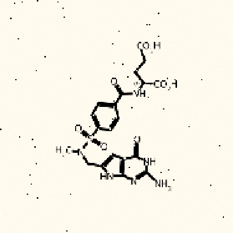 CN(Cc1cc2c(=O)[nH]c(N)nc2[nH]1)S(=O)(=O)c1ccc(C(=O)N[C@@H](CCC(=O)O)C(=O)O)cc1